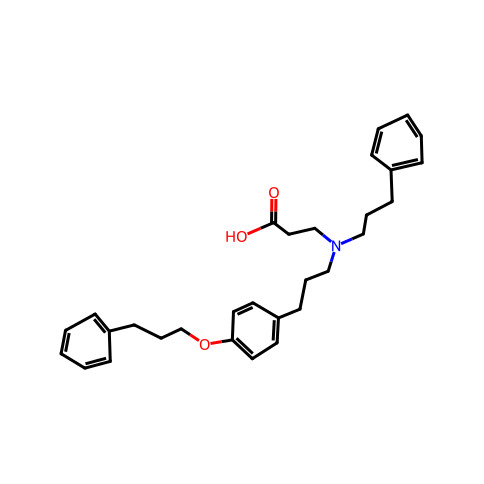 O=C(O)CCN(CCCc1ccccc1)CCCc1ccc(OCCCc2ccccc2)cc1